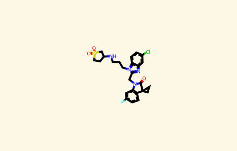 O=C1N(Cc2nc3cc(Cl)ccc3n2CCCNC2CCS(=O)(=O)C2)c2cc(F)ccc2C12CC2